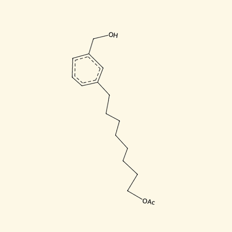 CC(=O)OCCCCCCCCc1cccc(CO)c1